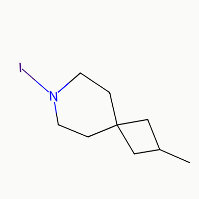 CC1CC2(CCN(I)CC2)C1